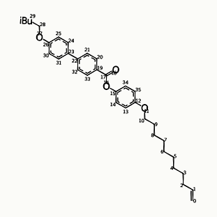 C=CCCCCCCCCCOc1ccc(OC(=O)c2ccc(-c3ccc(OCC(C)CC)cc3)cc2)cc1